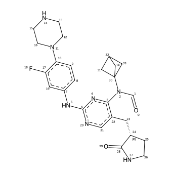 O=CN(c1nc(Nc2ccc(N3CCNCC3)c(F)c2)ncc1C[C@@H]1CCNC1=O)C12CC(C1)C2